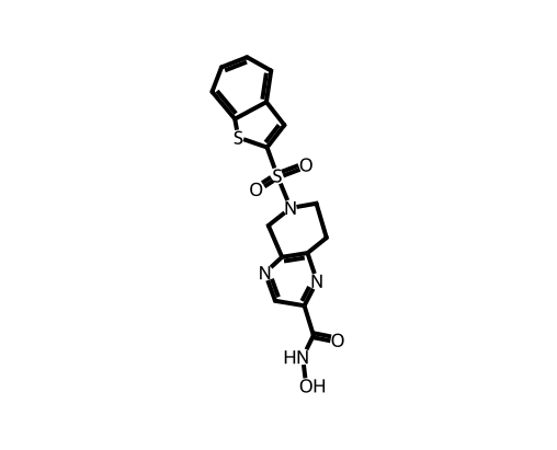 O=C(NO)c1cnc2c(n1)CCN(S(=O)(=O)c1cc3ccccc3s1)C2